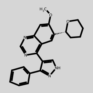 COc1cc2ncnc(-c3c[nH]nc3-c3ccccc3)c2cc1[C@H]1CCCCO1